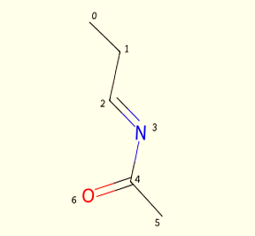 CCC=NC(C)=O